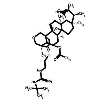 CC(=O)O[C@@H]1C[C@]23COC[C@@](C)([C@@H]2CC[C@H]2C3=CC[C@@]3(C)[C@H](C(=O)O)[C@@](C)([C@H](C)C(C)C)CC[C@]23C)[C@H]1OCCNC(=N)NC(C)(C)C